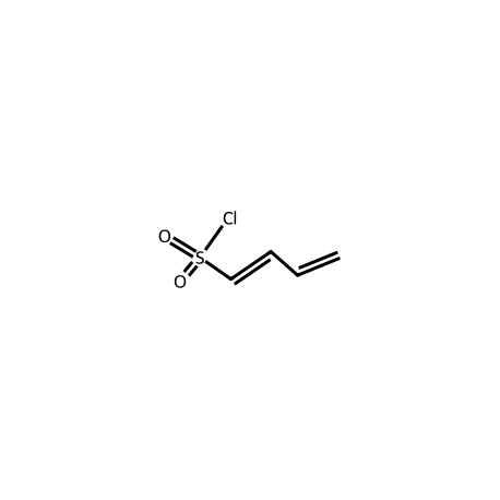 C=CC=CS(=O)(=O)Cl